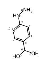 NNc1ccc(C(O)O)cn1